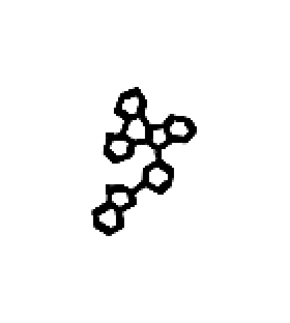 c1cc(-c2cnc3ccccc3c2)cc(-n2c3ccccc3c3c4ccccc4c4ncccc4c32)c1